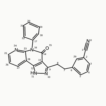 N#Cc1cccc(CCc2n[nH]c3c2c(=O)n(-c2ccccc2)c2ncccc32)c1